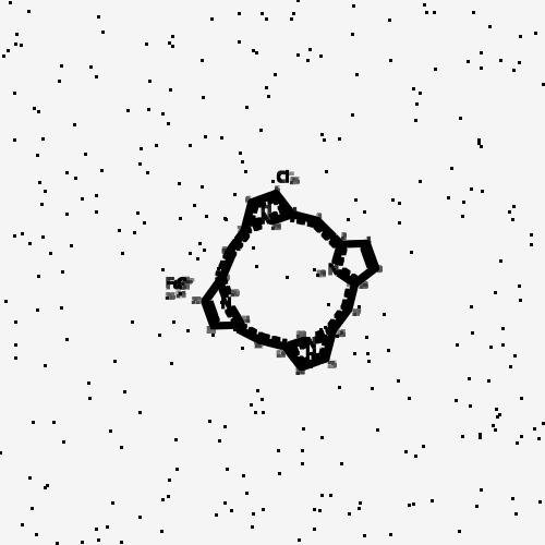 C1=Cc2cc3ccc(cc4nc(cc5ccc(cc1n2)[nH]5)C=C4)[nH]3.[Cl-].[Cl-].[Fe+2]